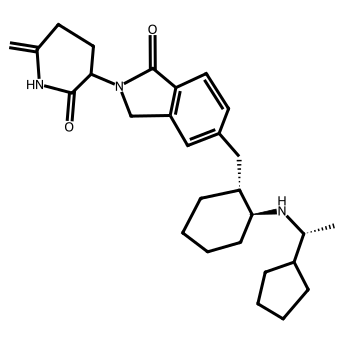 C=C1CCC(N2Cc3cc(C[C@H]4CCCC[C@@H]4N[C@H](C)C4CCCC4)ccc3C2=O)C(=O)N1